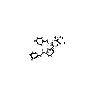 CN(C=O)C(=N)N[C@H](CCC1CCCCC1)C[C@H]1CCC[C@@H](NCc2ccccn2)C1